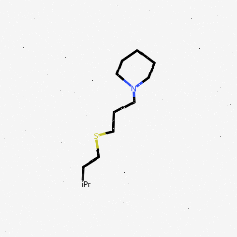 CC(C)CCSCCCN1CCCCC1